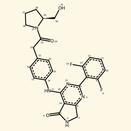 O=C1NCc2nc(-c3c(F)cccc3F)nc(Nc3ccc(CC(=O)N4CCC[C@H]4CO)cc3)c21